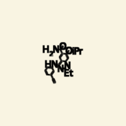 C#Cc1cccc(Nc2nc(CC)nc3cc(OC(C)C)c(C(N)=O)cc23)c1